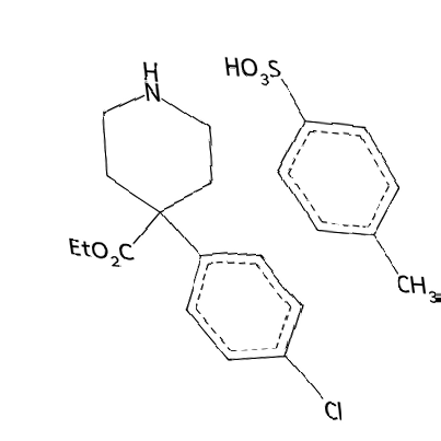 CCOC(=O)C1(c2ccc(Cl)cc2)CCNCC1.Cc1ccc(S(=O)(=O)O)cc1